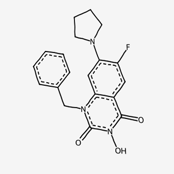 O=c1c2cc(F)c(N3CCCC3)cc2n(Cc2ccccc2)c(=O)n1O